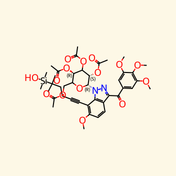 COc1cc(C(=O)c2nn([C@@H]3OC(COC(C)=O)[C@@H](OC(C)=O)C(OC(C)=O)[C@@H]3OC(C)=O)c3c(C#CCCC(C)(C)[Si](C)(C)O)c(OC)ccc23)cc(OC)c1OC